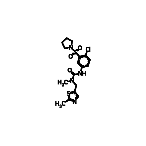 Cc1ncc(CN(C)C(=O)Nc2ccc(Cl)c(S(=O)(=O)N3CCCC3)c2)s1